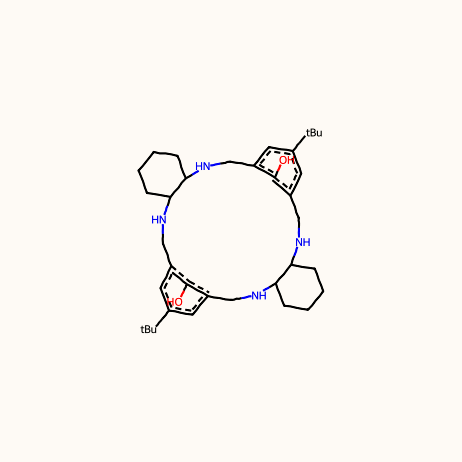 CC(C)(C)c1cc2c(O)c(c1)CNC1CCCCC1NCc1cc(C(C)(C)C)cc(c1O)CNC1CCCCC1NC2